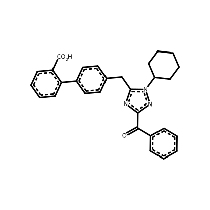 O=C(c1ccccc1)c1nc(Cc2ccc(-c3ccccc3C(=O)O)cc2)n(C2CCCCC2)n1